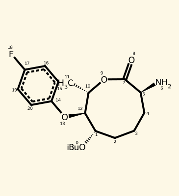 CC(C)CO[C@H]1CCC[C@H](N)C(=O)O[C@@H](C)[C@@H]1Oc1ccc(F)cc1